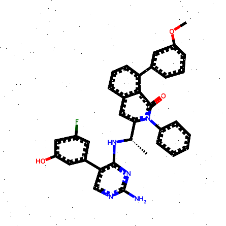 COc1cccc(-c2cccc3cc([C@H](C)Nc4nc(N)ncc4-c4cc(O)cc(F)c4)n(-c4ccccc4)c(=O)c23)c1